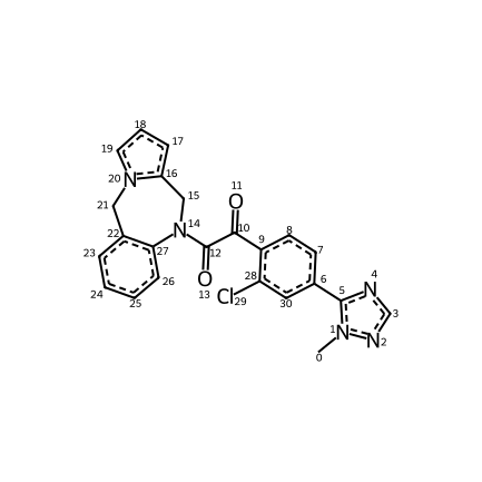 Cn1ncnc1-c1ccc(C(=O)C(=O)N2Cc3cccn3Cc3ccccc32)c(Cl)c1